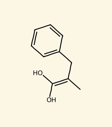 CC(Cc1ccccc1)=C(O)O